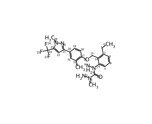 CCc1cccc(N(N)C(=O)N(C)N)c1COc1ccc(-c2cc(C(F)(F)F)n(C)n2)cc1C